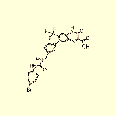 O=C(NCc1ccn(-c2cc3nc(C(=O)O)c(=O)[nH]c3cc2C(F)(F)F)c1)Nc1ccc(Br)cc1